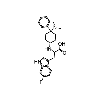 CN(C)C1(c2ccccc2)CCC(NC(Cc2c[nH]c3cc(F)ccc23)C(=O)O)CC1